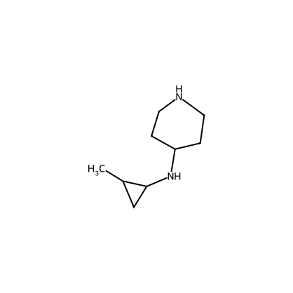 CC1CC1NC1CCNCC1